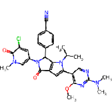 COc1nc(N(C)C)ncc1-c1cc2c(n1C(C)C)C(c1ccc(C#N)cc1)N(c1cc(Cl)c(=O)n(C)c1)C2=O